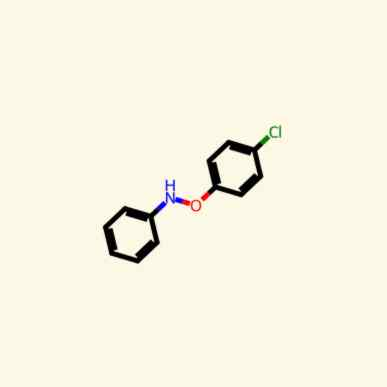 Clc1ccc(ONc2ccccc2)cc1